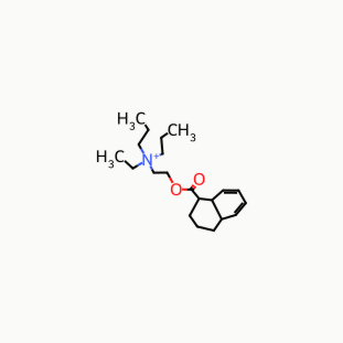 CCC[N+](CC)(CCC)CCOC(=O)C1CCCC2C=CC=CC21